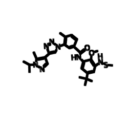 COc1c(NSC)cc(C(C)(C)C)cc1NC(=O)c1ccc(C)c(-n2cc(-c3cnn(C(C)C)c3C)nn2)c1